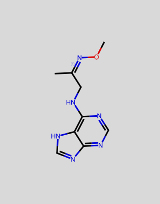 CO/N=C(/C)CNc1ncnc2nc[nH]c12